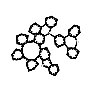 c1ccc(-c2ccccc2N(c2ccc3c(c2)-c2ccccc2Oc2ccccc2-3)c2ccc3c4ccccc4c4ccccc4c4ccccc4c4c(ccc5c6ccccc6oc54)c3c2)cc1